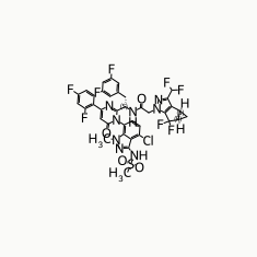 Cn1nc(NS(C)(=O)=O)c2c(Cl)ccc(-n3c([C@H](Cc4cc(F)cc(F)c4)NC(=O)Cn4nc(C(F)F)c5c4C(F)(F)[C@@H]4C[C@H]54)nc(-c4ccc(F)cc4F)cc3=O)c21